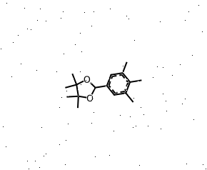 Cc1cc(C2OC(C)(C)C(C)(C)O2)cc(C)c1C